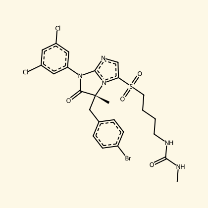 CNC(=O)NCCCCS(=O)(=O)c1cnc2n1[C@](C)(Cc1ccc(Br)cc1)C(=O)N2c1cc(Cl)cc(Cl)c1